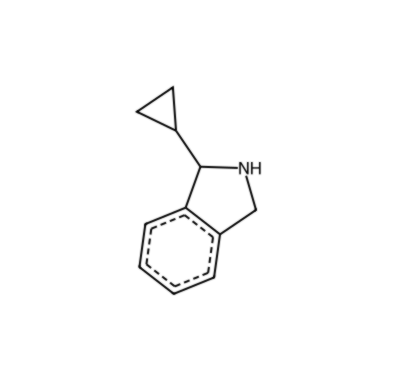 c1ccc2c(c1)CNC2C1CC1